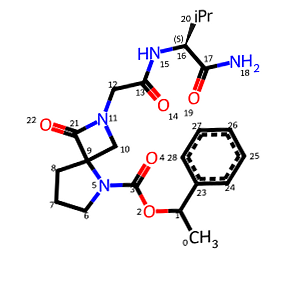 CC(OC(=O)N1CCCC12CN(CC(=O)N[C@H](C(N)=O)C(C)C)C2=O)c1ccccc1